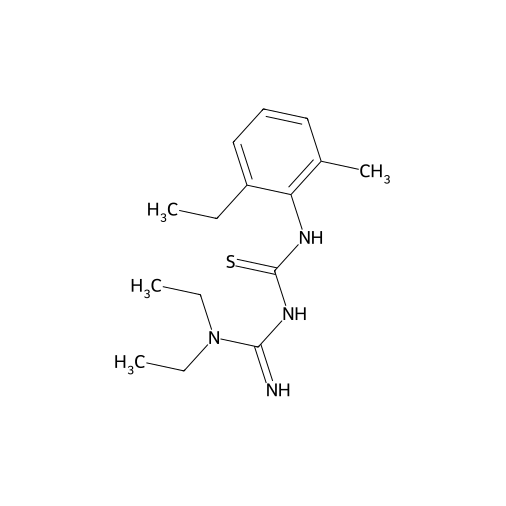 CCc1cccc(C)c1NC(=S)NC(=N)N(CC)CC